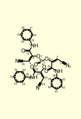 N#C/C=C(/OP(=O)(O/C(=C/C#N)C(=O)Nc1ccccc1)O/C(=C/C#N)C(=O)Nc1ccccc1)C(=O)Nc1ccccc1